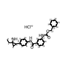 CCC1(N)CC1c1ccc(NC(=O)c2cccc(NC(=O)OCc3ccccc3)c2)cc1.Cl